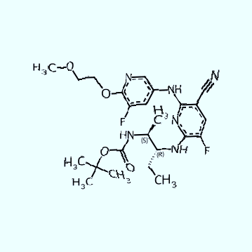 CC[C@@H](Nc1nc(Nc2cnc(OCCOC)c(F)c2)c(C#N)cc1F)[C@H](C)NC(=O)OC(C)(C)C